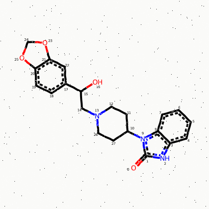 O=c1[nH]c2ccccc2n1C1CCN(CC(O)c2ccc3c(c2)OCO3)CC1